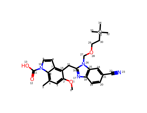 COc1cc(C)c2c(ccn2C(=O)O)c1Cc1nc2ccc(C#N)cc2n1COCC[Si](C)(C)C